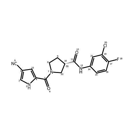 N#Cc1c[nH]c(C(=O)N2CC[C@H](C(=O)Nc3ccc(F)c(Cl)c3)C2)c1